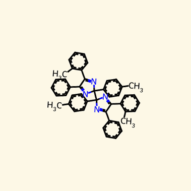 Cc1ccc(C2(C3(c4ccc(C)cc4)N=C(c4ccccc4)C(c4ccccc4C)=N3)N=C(c3ccccc3)C(c3ccccc3C)=N2)cc1